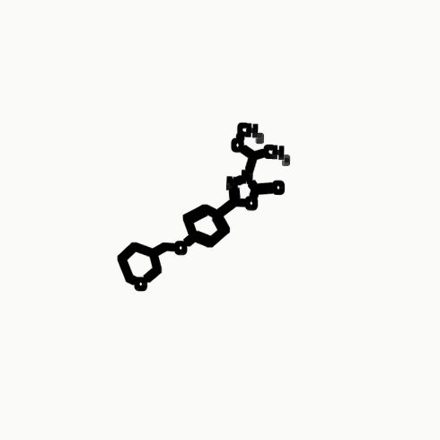 COC(C)n1nc(-c2ccc(OCC3CCCOC3)cc2)oc1=O